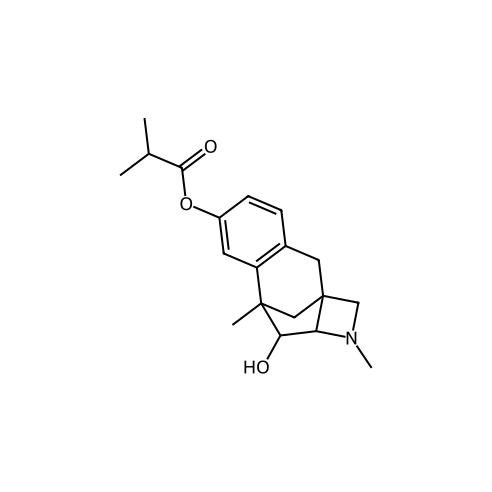 CC(C)C(=O)Oc1ccc2c(c1)C1(C)CC3(C2)CN(C)C3C1O